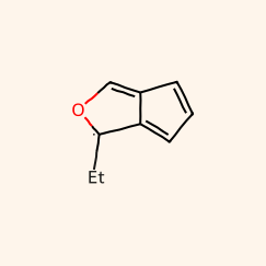 CC[C]1OC=C2C=CC=C12